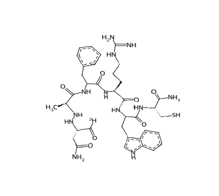 [2H]C(=O)[C@H](CC(N)=O)NN[C@@H](C)C(=O)NC(Cc1ccccc1)C(=O)N[C@@H](CCCNC(=N)N)C(=O)NC(Cc1c[nH]c2ccccc12)C(=O)N[C@@H](CS)C(N)=O